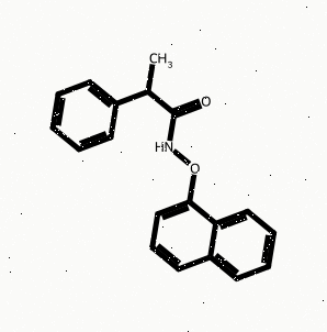 CC(C(=O)NOc1cccc2ccccc12)c1ccccc1